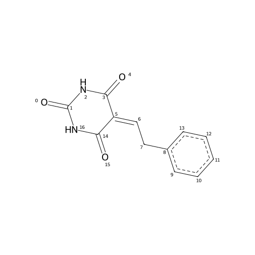 O=C1NC(=O)C(=CCc2ccccc2)C(=O)N1